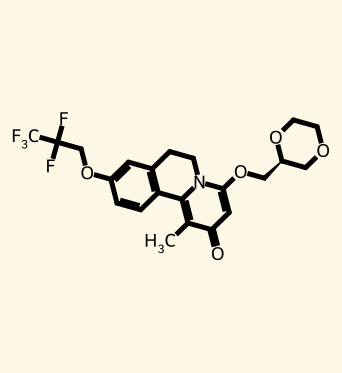 Cc1c2n(c(OC[C@@H]3COCCO3)cc1=O)CCc1cc(OCC(F)(F)C(F)(F)F)ccc1-2